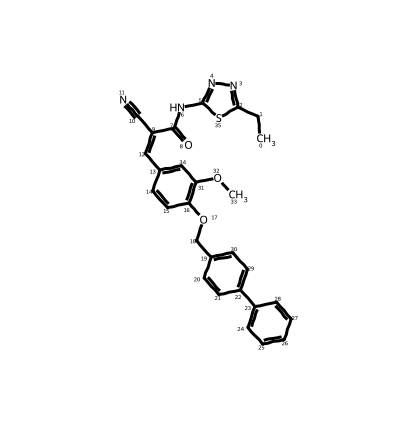 CCc1nnc(NC(=O)C(C#N)=Cc2ccc(OCc3ccc(-c4ccccc4)cc3)c(OC)c2)s1